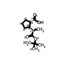 CN(C(=O)OC(C)(C)C)[C@H]1CCC[C@@H]1C(=O)O